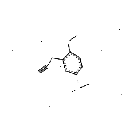 COc1ccccc1CC#N.N.[Cl][Pt][Cl]